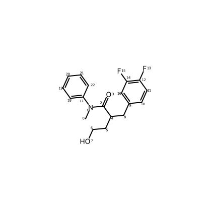 CN(C(=O)C(CCO)Cc1ccc(F)c(F)c1)c1ccccc1